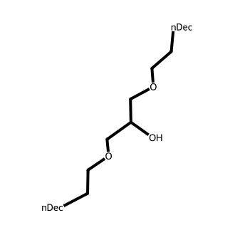 CCCCCCCCCCCCOCC(O)COCCCCCCCCCCCC